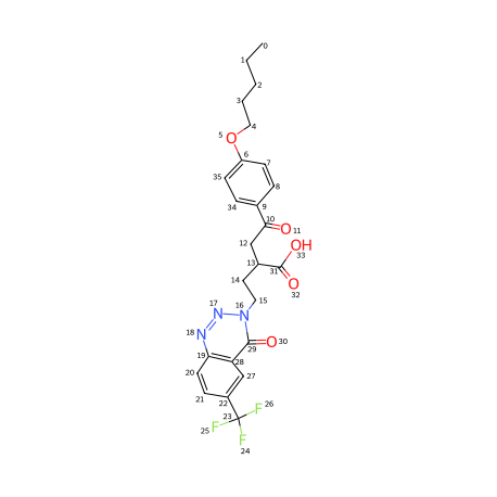 CCCCCOc1ccc(C(=O)CC(CCn2nnc3ccc(C(F)(F)F)cc3c2=O)C(=O)O)cc1